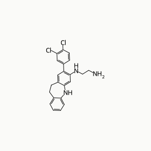 NCCNc1cc2c(cc1-c1ccc(Cl)c(Cl)c1)CCc1ccccc1N2